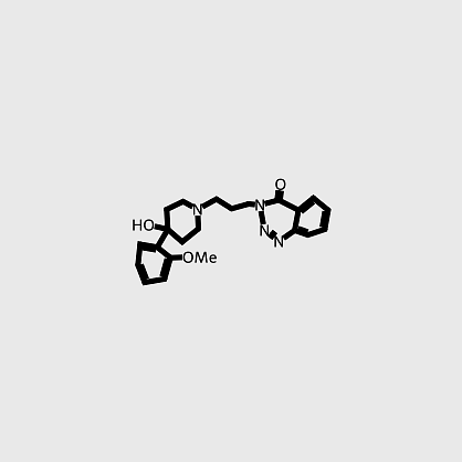 COc1ccccc1C1(O)CCN(CCCn2nnc3ccccc3c2=O)CC1